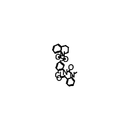 Cn1c(=O)n(-c2cc(S(=O)(=O)N3CCCc4ccccc43)ccc2Cl)c(=O)c2ccccc21